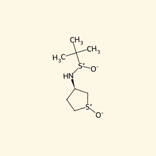 CC(C)(C)[S+]([O-])N[C@@H]1CC[S+]([O-])C1